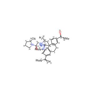 C=C(NC)c1ccc2c(c1)CCc1cc(C(=O)NC)ccc1C2(C[C@H](C)NCC(=O)N1CCCC1C#N)/C(N)=N/NC